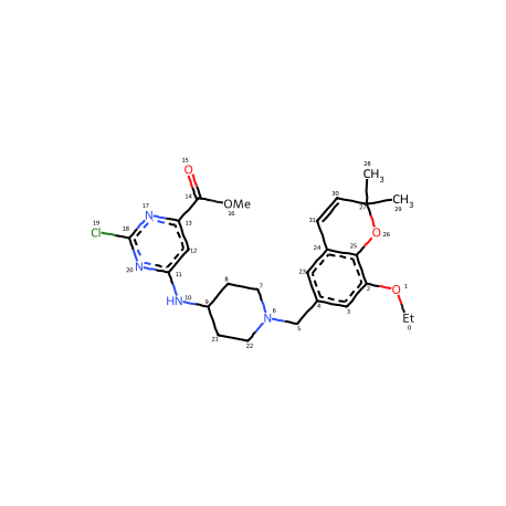 CCOc1cc(CN2CCC(Nc3cc(C(=O)OC)nc(Cl)n3)CC2)cc2c1OC(C)(C)C=C2